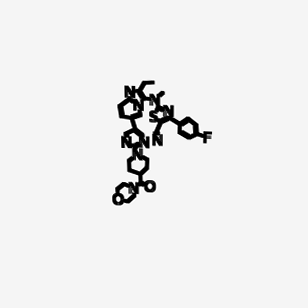 CCc1nc2ccc(-c3cnc(N4CCC(C(=O)N5CCOCC5)CC4)nc3)cn2c1N(C)c1nc(-c2ccc(F)cc2)c(C#N)s1